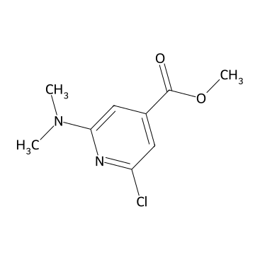 COC(=O)c1cc(Cl)nc(N(C)C)c1